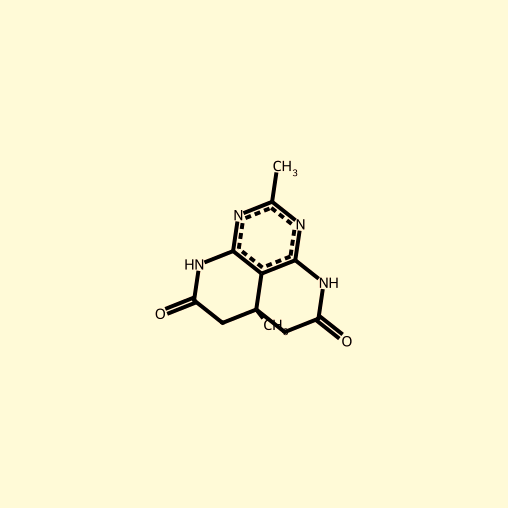 Cc1nc2c3c(n1)NC(=O)CC3(C)CC(=O)N2